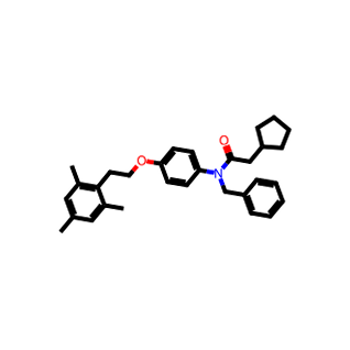 Cc1cc(C)c(CCOc2ccc(N(Cc3ccccc3)C(=O)CC3CCCC3)cc2)c(C)c1